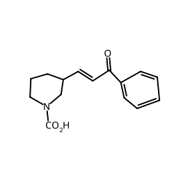 O=C(C=CC1CCCN(C(=O)O)C1)c1ccccc1